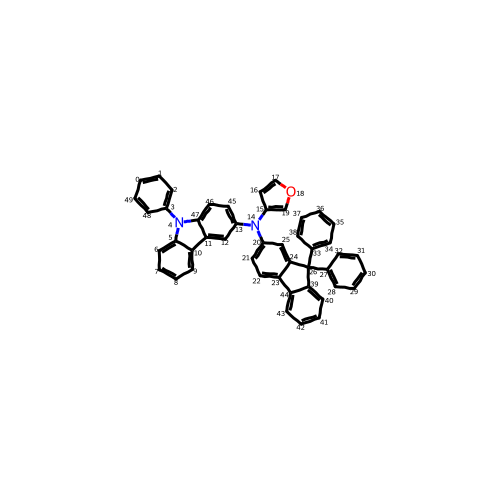 c1ccc(-n2c3ccccc3c3cc(N(c4ccoc4)c4ccc5c(c4)C(c4ccccc4)(c4ccccc4)c4ccccc4-5)ccc32)cc1